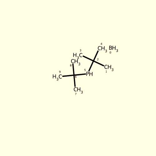 B.CC(C)(C)PC(C)(C)C